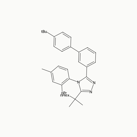 CCCCCCC(C)(C)c1nnc(-c2cccc(-c3ccc(C(C)(C)C)cc3)c2)n1-c1ccc(C)cc1CCC